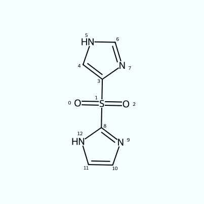 O=S(=O)(c1c[nH]cn1)c1ncc[nH]1